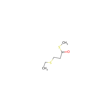 CCSCCC(=O)SC